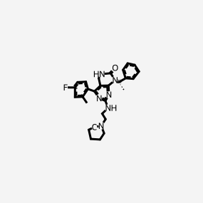 Cc1cc(F)ccc1-c1nc(NCCN2CCCCC2)nc2c1CNC(=O)N2[C@@H](C)c1ccccc1